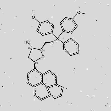 COc1ccc(C(OC[C@H]2O[C@@H](c3ccc4ccc5cccc6ccc3c4c56)C[C@@H]2O)(c2ccccc2)c2ccc(OC)cc2)cc1